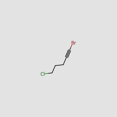 ClCCCC#CBr